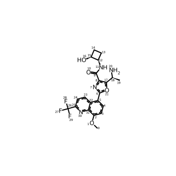 COc1ccc(-c2nc(C(=O)N[C@@H]3CC[C@@H]3O)c([C@H](C)N)o2)c2ccc(C(F)(F)F)nc12